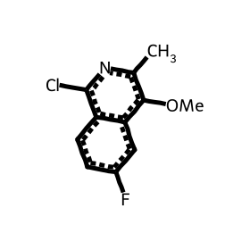 COc1c(C)nc(Cl)c2ccc(F)cc12